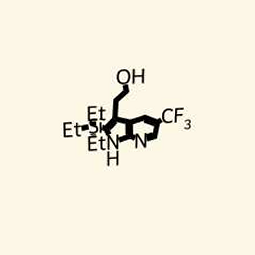 CC[Si](CC)(CC)c1[nH]c2ncc(C(F)(F)F)cc2c1CCO